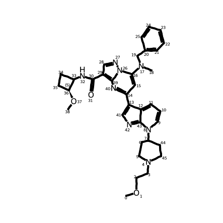 COCCN1CCC(n2cccc3c(-c4cc(N(C)Cc5ccccc5)n5ncc(C(=O)NC6CC[C@@H]6OC)c5n4)cnc2-3)CC1